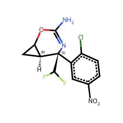 NC1=N[C@@](c2cc([N+](=O)[O-])ccc2Cl)(C(F)F)[C@H]2CC2O1